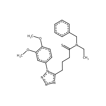 CCN(Cc1ccccc1)C(=S)CCCc1nnnn1-c1ccc(OC)c(OC)c1